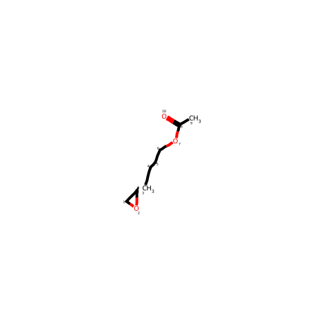 C1CO1.CCCCOC(C)=O